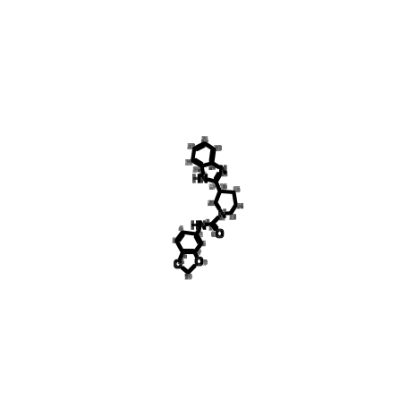 O=C(Nc1ccc2c(c1)OCO2)N1CCCC(c2nc3ccccc3[nH]2)C1